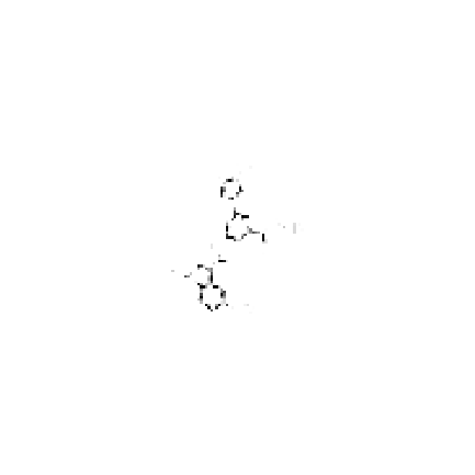 COc1ccc2c(c1)c(C(=O)Nc1cc(C(=O)OC(C)(C)C)cc(-c3cnn(C)c3)c1)cn2C(C)=O